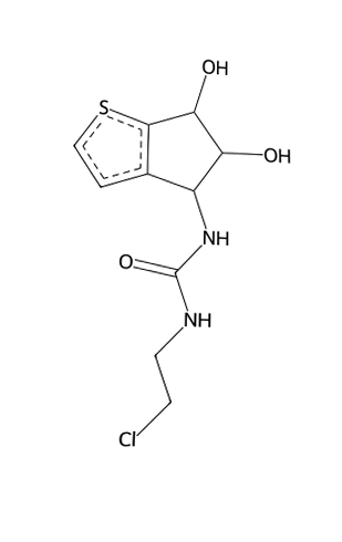 O=C(NCCCl)NC1c2ccsc2C(O)C1O